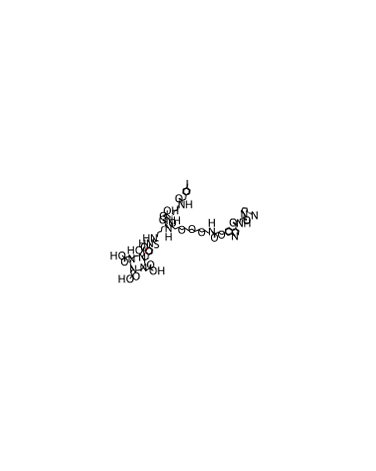 N#C[C@@H]1CCCN1C(=O)CNC(=O)c1ccnc2cc(OCC(=O)NCCOCCOCCOCCC(=O)N[C@@H](CCCCNC(=S)Nc3ccc(CC4CN(CC(=O)O)CCN(CC(=O)O)CCN(CC(=O)O)CCN4CC(=O)O)cc3)C(=O)N[C@@H](CCCCNC(=O)Cc3ccc(I)cc3)C(=O)O)ccc12